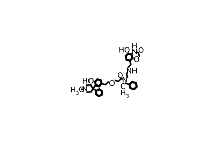 C[C@H](c1ccccc1)N(CCNCCc1ccc(O)c2c1OCC(=O)N2)C(=O)CCOCCc1ccc(O)c(C2(c3ccccc3)CCN(C)CC2)c1